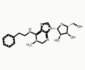 CN1CN=c2c(ncn2[C@@H]2O[C@H](CO)[C@@H](O)[C@H]2O)=C1NCCc1ccccc1